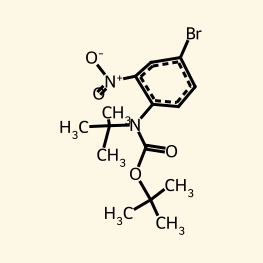 CC(C)(C)OC(=O)N(c1ccc(Br)cc1[N+](=O)[O-])C(C)(C)C